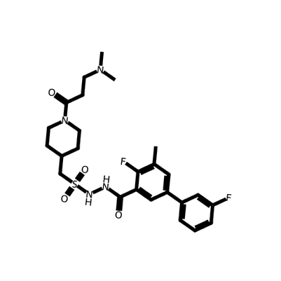 Cc1cc(-c2cccc(F)c2)cc(C(=O)NNS(=O)(=O)CC2CCN(C(=O)CCN(C)C)CC2)c1F